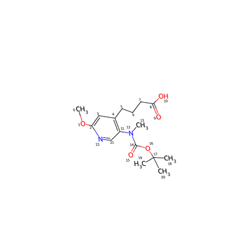 COc1cc(CCCC(=O)O)c(N(C)C(=O)OC(C)(C)C)cn1